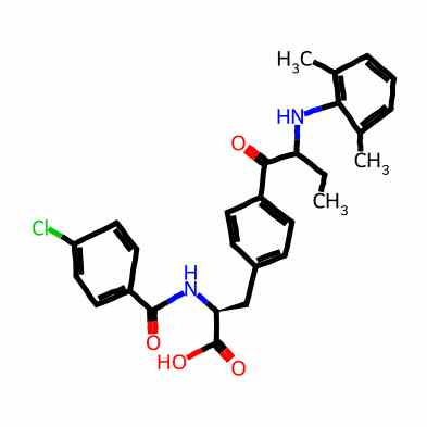 CCC(Nc1c(C)cccc1C)C(=O)c1ccc(C[C@H](NC(=O)c2ccc(Cl)cc2)C(=O)O)cc1